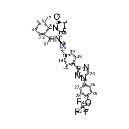 CCc1cccc(C)c1N1C(=O)CSC1N/N=C/c1ccc(-c2ncn(-c3ccc(OC(F)(F)F)cc3)n2)cc1